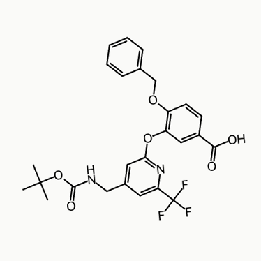 CC(C)(C)OC(=O)NCc1cc(Oc2cc(C(=O)O)ccc2OCc2ccccc2)nc(C(F)(F)F)c1